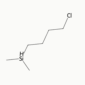 C[SiH](C)CCCCCl